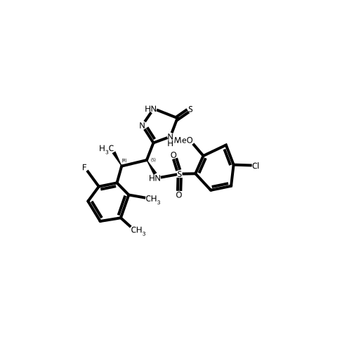 COc1cc(Cl)ccc1S(=O)(=O)N[C@H](c1n[nH]c(=S)[nH]1)[C@H](C)c1c(F)ccc(C)c1C